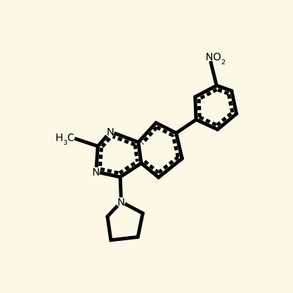 Cc1nc(N2CCCC2)c2ccc(-c3cccc([N+](=O)[O-])c3)cc2n1